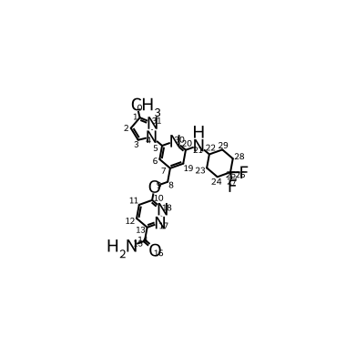 Cc1ccn(-c2cc(COc3ccc(C(N)=O)nn3)cc(NC3CCC(F)(F)CC3)n2)n1